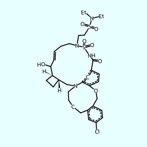 CCN(CC)S(=O)(=O)CCN1CC/C=C/C(O)[C@@H]2CC[C@H]2CN2CCCCc3cc(Cl)ccc3COc3ccc(cc32)C(=O)NS1(=O)=O